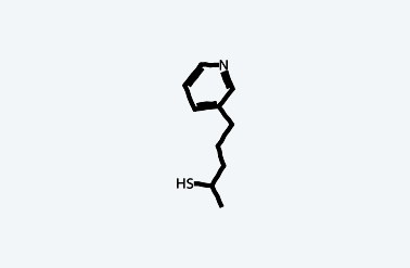 CC(S)CCCc1cccnc1